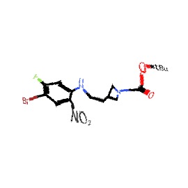 CC(C)(C)OC(=O)N1CC(CNc2cc(F)c(Br)cc2[N+](=O)[O-])C1